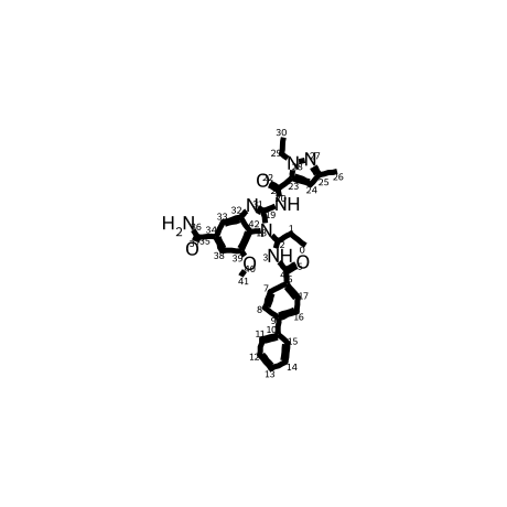 CCC(NC(=O)c1ccc(-c2ccccc2)cc1)n1c(NC(=O)c2cc(C)nn2CC)nc2cc(C(N)=O)cc(OC)c21